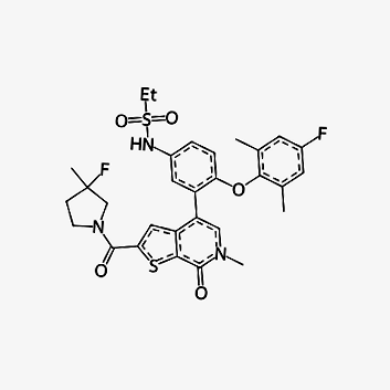 CCS(=O)(=O)Nc1ccc(Oc2c(C)cc(F)cc2C)c(-c2cn(C)c(=O)c3sc(C(=O)N4CCC(C)(F)C4)cc23)c1